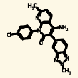 Cc1ccc2c(N)c(-c3ccc4nn(C)nc4c3)c(=O)n(-c3ccc(Cl)cc3)c2n1